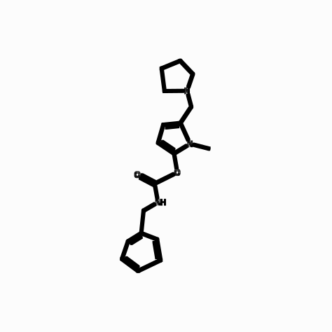 Cn1c(CN2CCCC2)ccc1OC(=O)NCc1ccccc1